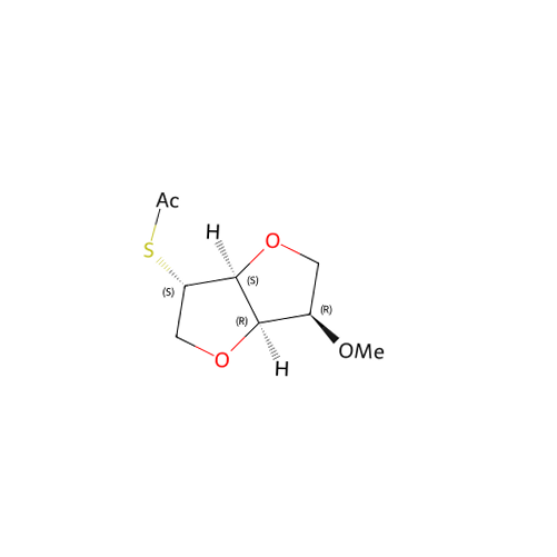 CO[C@@H]1CO[C@H]2[C@@H]1OC[C@@H]2SC(C)=O